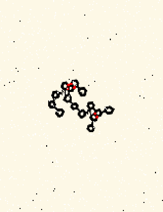 c1ccc(-c2cccc(-c3cccc(N(c4cccc(-c5cccc(-c6ccccc6)c5)c4)c4ccc(-c5ccc(-c6cccc(N(c7cccc(-c8ccccc8)c7)c7ccccc7-c7cccc(-c8ccccc8)c7)c6)cc5)cc4-c4ccccc4)c3)c2)cc1